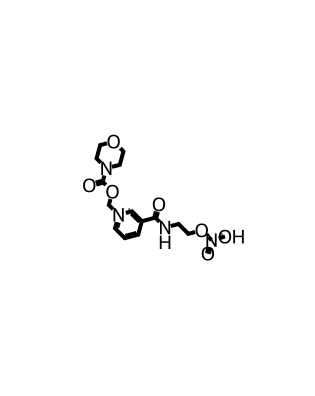 O=C(NCCO[N+](=O)O)c1ccc[n+](COC(=O)N2CCOCC2)c1